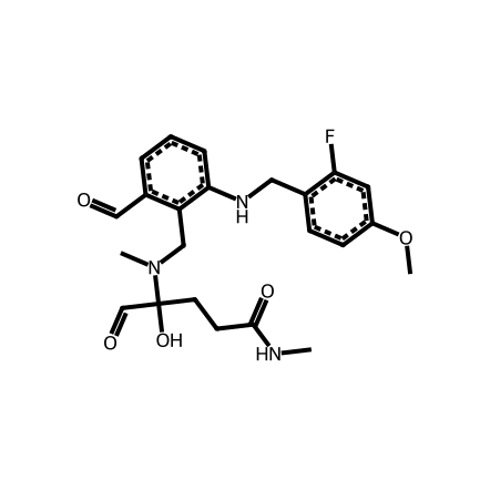 CNC(=O)CCC(O)(C=O)N(C)Cc1c(C=O)cccc1NCc1ccc(OC)cc1F